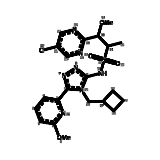 COc1cccc(-c2nnc(NS(=O)(=O)C(C)C(OC)c3ncc(Cl)cn3)n2CC2CCC2)n1